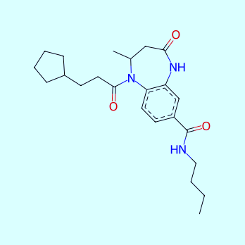 CCCCNC(=O)c1ccc2c(c1)NC(=O)CC(C)N2C(=O)CCC1CCCC1